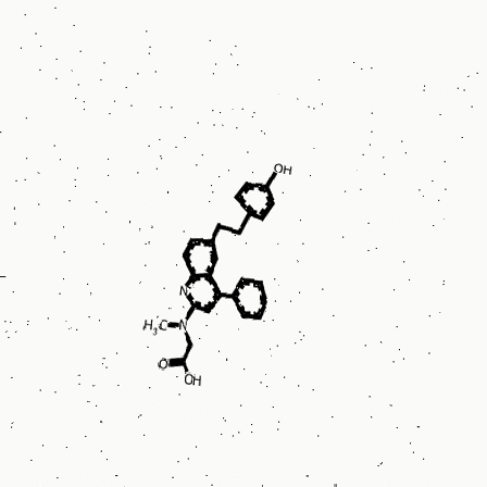 CN(CC(=O)O)c1cc(-c2ccccc2)c2cc(CCc3ccc(O)cc3)ccc2n1